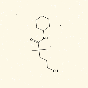 CC(C)(CCCO)C(=O)NC1CCCCC1